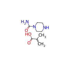 C=C(C)C(=O)O.NC(=O)N1CCNCC1